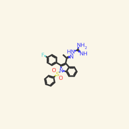 CC(=NNC(=N)N)c1c(-c2ccc(F)cc2)n(S(=O)(=O)c2ccccc2)c2ccccc12